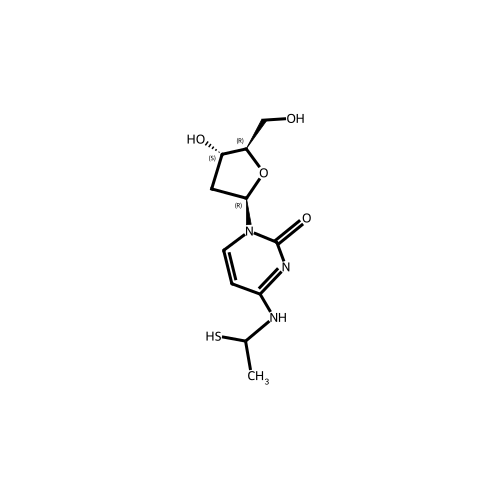 CC(S)Nc1ccn([C@H]2C[C@H](O)[C@@H](CO)O2)c(=O)n1